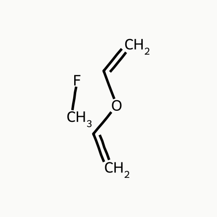 C=COC=C.CF